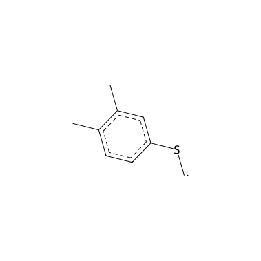 [CH2]Sc1ccc(C)c(C)c1